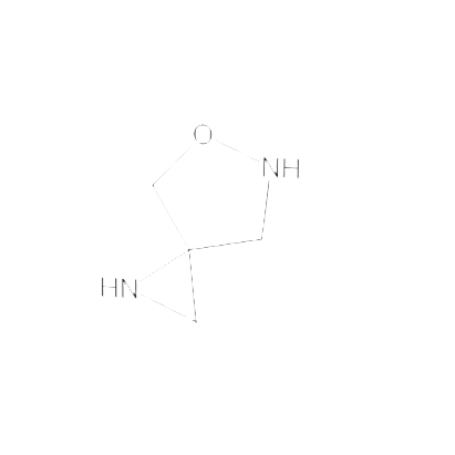 C1NOCC12CN2